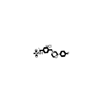 C[C@@H](NS(C)(=O)=O)c1ccc(CN2CCO[C@@H](c3ccc(F)cc3)C2)cc1.Cl